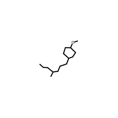 CCCC(C)CCCC1CCC(OC)CC1